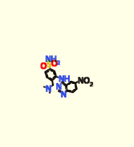 CN(C)Cc1ccc(S(N)(=O)=O)cc1Nc1ncnc2ccc([N+](=O)[O-])cc12